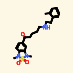 Cc1ccccc1CCNCCCCC(=O)c1ccc2c(c1)N(C)S(=O)(=O)N2C